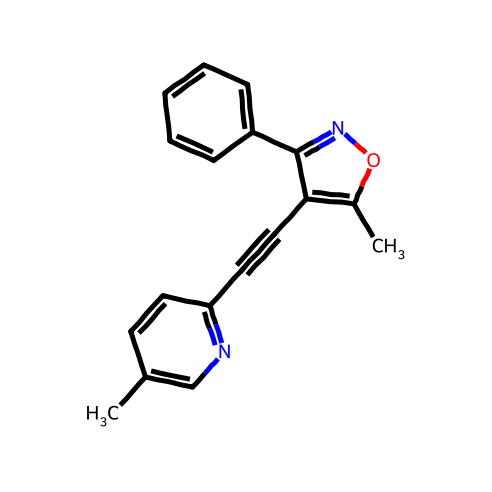 Cc1ccc(C#Cc2c(-c3ccccc3)noc2C)nc1